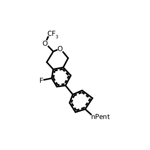 CCCCCc1ccc(-c2cc(F)c3c(c2)COC(OC(F)(F)F)C3)cc1